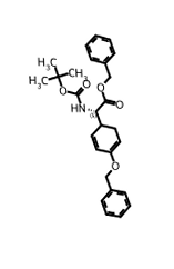 CC(C)(C)OC(=O)N[C@H](C(=O)OCc1ccccc1)C1C=CC(OCc2ccccc2)=CC1